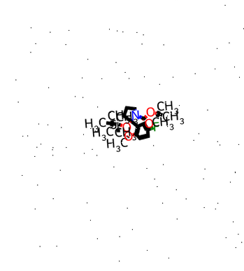 COc1ccc(F)cc1C1(O[Si](C)(C)C(C)(C)C)CCCN1C(=O)OC(C)(C)C